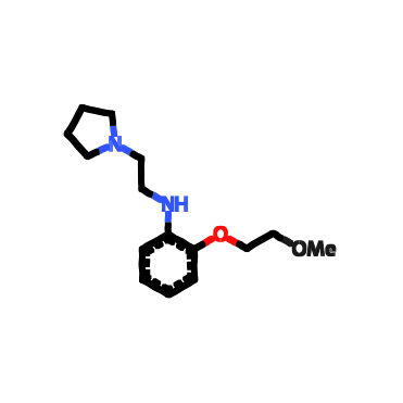 COCCOc1ccccc1NCCN1CCCC1